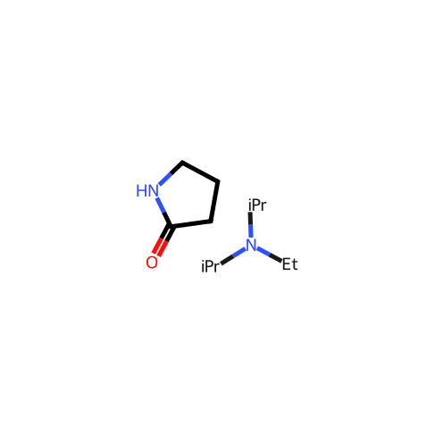 CCN(C(C)C)C(C)C.O=C1CCCN1